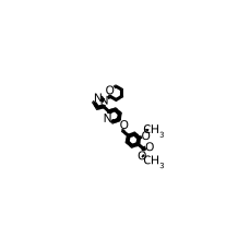 COC(=O)c1ccc(COc2ccc(-c3ccnn3C3CCCCO3)nc2)cc1OC